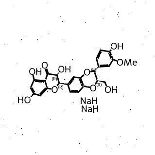 COc1cc([C@H]2Oc3cc([C@H]4Oc5cc(O)cc(O)c5C(=O)[C@@H]4O)ccc3O[C@@H]2CO)ccc1O.[NaH].[NaH]